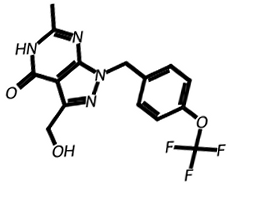 Cc1nc2c(c(CO)nn2Cc2ccc(OC(F)(F)F)cc2)c(=O)[nH]1